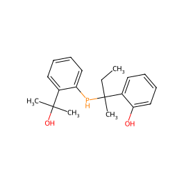 CCC(C)(Pc1ccccc1C(C)(C)O)c1ccccc1O